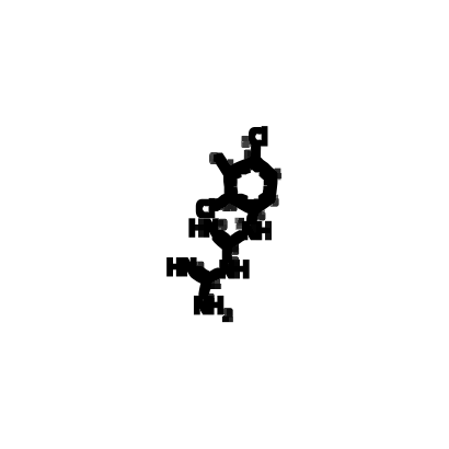 Cc1c(Cl)ccc(NC(=N)NC(=N)N)c1Cl